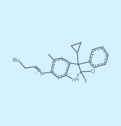 CCCc1cc(/N=C/CC(C)CC)c(C)cc1C(c1ccccc1)(C1CC1)C(F)(F)Cl